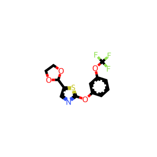 FC(F)(F)Oc1cccc(Oc2ncc(C3OCCO3)s2)c1